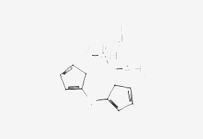 C1=CC[C]([V][C]2=CC=CC2)=C1.Cl.Cl.Cl.[CH3][AlH][O][AlH2]